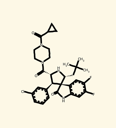 CC(C)(C)C[C@H]1N[C@@H](C(=O)N2CCN(C(=O)C3CC3)CC2)[C@H](c2cccc(Cl)c2)[C@@]12C(=O)Nc1cc(F)c(F)cc12